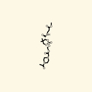 COC(=O)CCNC(=O)[C@@H]1OP(=O)(OCOC(=O)CN2CCN(C(C)=O)CC2)OCC1(C)C